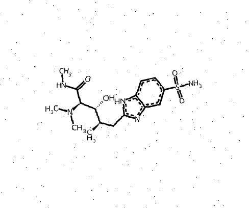 CNC(=O)[C@@H]([C@H](O)[C@H](C)Cc1nc2cc(S(N)(=O)=O)ccc2[nH]1)N(C)C